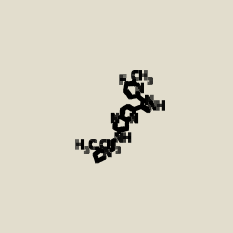 Cc1nc(-c2n[nH]cc2-c2ccc3ncc(NCCN4CCCC4(C)C)cc3n2)ccc1F